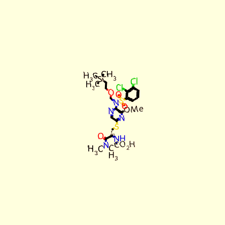 COc1nc(SC[C@H](NC(=O)O)C(=O)N(C)C)cnc1N(COCC[Si](C)(C)C)S(=O)(=O)c1cccc(Cl)c1Cl